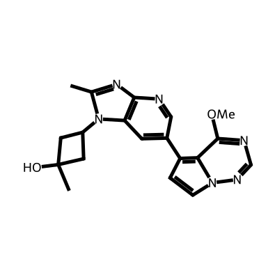 COc1ncnn2ccc(-c3cnc4nc(C)n(C5CC(C)(O)C5)c4c3)c12